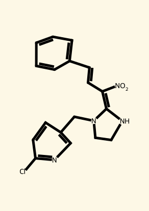 O=[N+]([O-])C(/C=C/c1ccccc1)=C1\NCCN1Cc1ccc(Cl)nc1